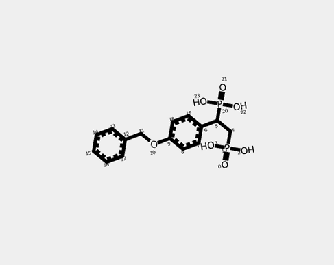 O=P(O)(O)CC(c1ccc(OCc2ccccc2)cc1)P(=O)(O)O